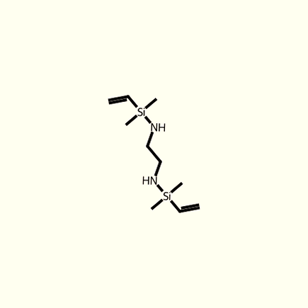 C=C[Si](C)(C)NCCN[Si](C)(C)C=C